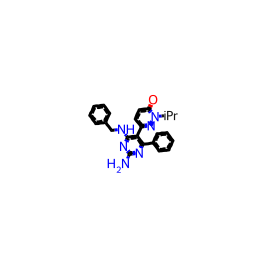 CC(C)n1nc(-c2c(NCc3ccccc3)nc(N)nc2-c2ccccc2)ccc1=O